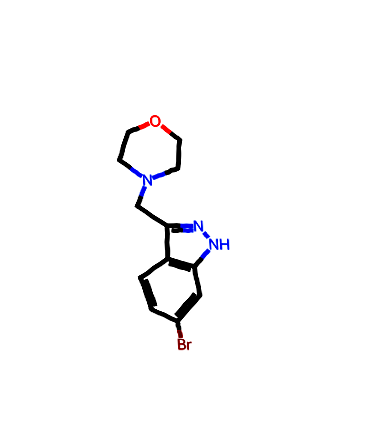 Brc1ccc2c(CN3CCOCC3)n[nH]c2c1